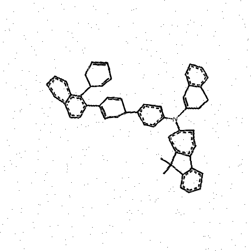 CC1(C)c2ccccc2-c2ccc(N(C3=Cc4ccccc4CC3)c3ccc(C4C=CC(c5ccc6ccccc6c5C5C=CC=CC5)=CC4)cc3)cc21